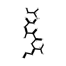 C=C/C=C(\CC(=C)C(=C)/C(C)=C\C(=C)/C=N\C(C)CC)C(C)C